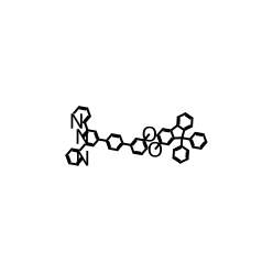 c1ccc(C2(c3ccccc3)c3ccccc3-c3cc4c(cc32)Oc2ccc(-c3ccc(-c5cc(-c6ccccn6)nc(-c6ccccn6)c5)cc3)cc2O4)cc1